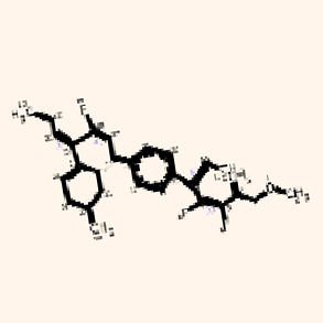 C=C(COC)/C(F)=C(F)\C(=C/C)c1ccc(C/C=C(F)\C(=C/CC)C2=CCC(C)CC2)cc1